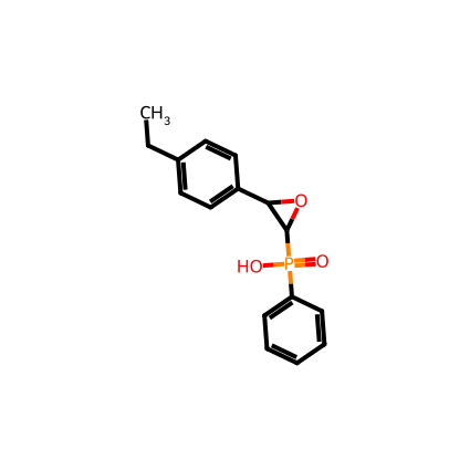 CCc1ccc(C2OC2P(=O)(O)c2ccccc2)cc1